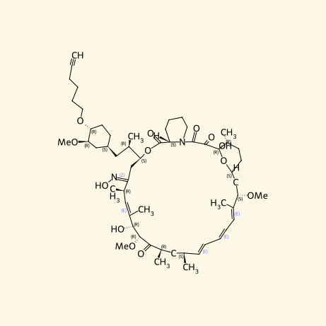 C#CCCCCO[C@@H]1CC[C@@H](C[C@@H](C)[C@@H]2C/C(=N/O)[C@H](C)/C=C(\C)[C@@H](O)[C@@H](OC)C(=O)[C@H](C)C[C@H](C)/C=C/C=C/C=C(\C)[C@@H](OC)C[C@@H]3CC[C@@H](C)[C@@](O)(O3)C(=O)C(=O)N3CCCC[C@H]3C(=O)O2)C[C@H]1OC